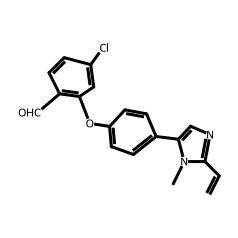 C=Cc1ncc(-c2ccc(Oc3cc(Cl)ccc3C=O)cc2)n1C